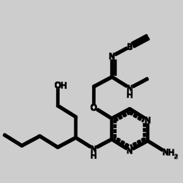 C=B/N=C(/COc1cnc(N)nc1NC(CCO)CCCC)NC